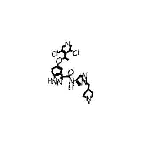 CC(Oc1ccc2[nH]nc(C(=O)Nc3cnn(CC4CCN(C)CC4)c3)c2c1)c1c(Cl)cncc1Cl